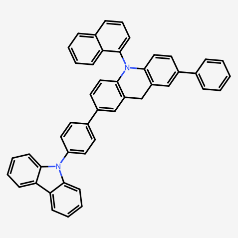 c1ccc(-c2ccc3c(c2)Cc2cc(-c4ccc(-n5c6ccccc6c6ccccc65)cc4)ccc2N3c2cccc3ccccc23)cc1